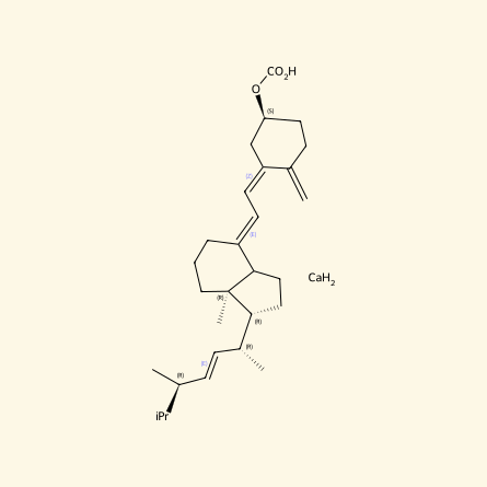 C=C1CC[C@H](OC(=O)O)C/C1=C/C=C1\CCC[C@@]2(C)C1CC[C@@H]2[C@H](C)/C=C/[C@H](C)C(C)C.[CaH2]